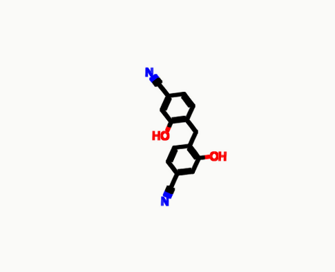 N#Cc1ccc(Cc2ccc(C#N)cc2O)c(O)c1